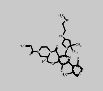 C=CC(=O)N1CCN2C(=O)c3c(N4CC(NCCNC)CC4(C)C)nc(-c4c(C)cccc4F)c(Cl)c3OC[C@H]2C1